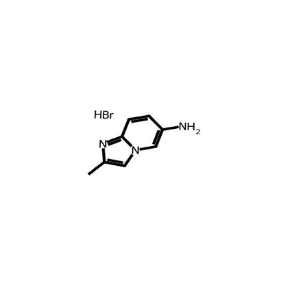 Br.Cc1cn2cc(N)ccc2n1